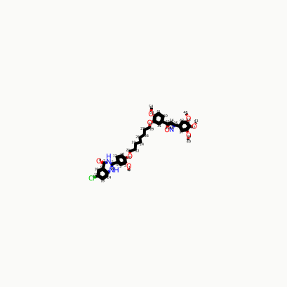 COc1cc(C2NC(=O)c3cc(Cl)ccc3N2)ccc1OCCCCCCCCOc1cc(-c2cc(-c3cc(OC)c(OC)c(OC)c3)no2)ccc1OC